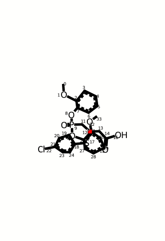 COc1ccccc1OP(=O)(CN(CC(=O)O)Sc1ccc(Cl)cc1)Oc1ccccc1OC